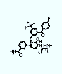 CNC(=O)c1cccc(-c2ccc(NC(=O)[C@H](C)NC)c(=O)n2Cc2cc(C(=O)c3ccc(F)cc3)cc(C(F)(F)F)c2)c1